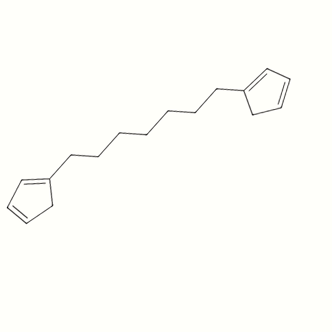 C1=CCC(CCCCCCCC2=CC=CC2)=C1